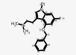 CCn1cc(CCN(C)C)c2c(OCc3ccccc3)cc(F)cc21